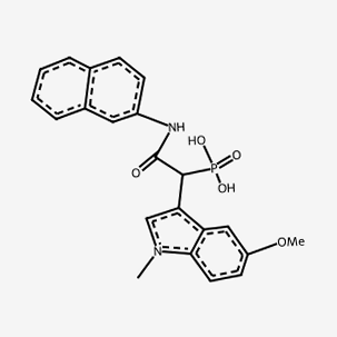 COc1ccc2c(c1)c(C(C(=O)Nc1ccc3ccccc3c1)P(=O)(O)O)cn2C